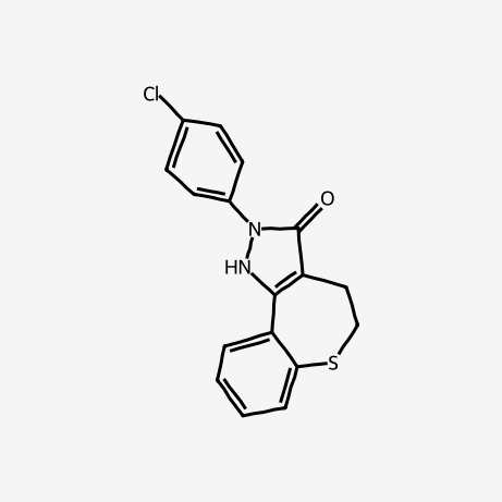 O=c1c2c([nH]n1-c1ccc(Cl)cc1)-c1ccccc1SCC2